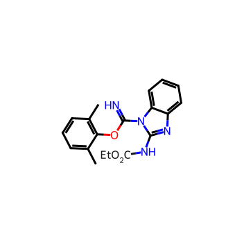 CCOC(=O)Nc1nc2ccccc2n1C(=N)Oc1c(C)cccc1C